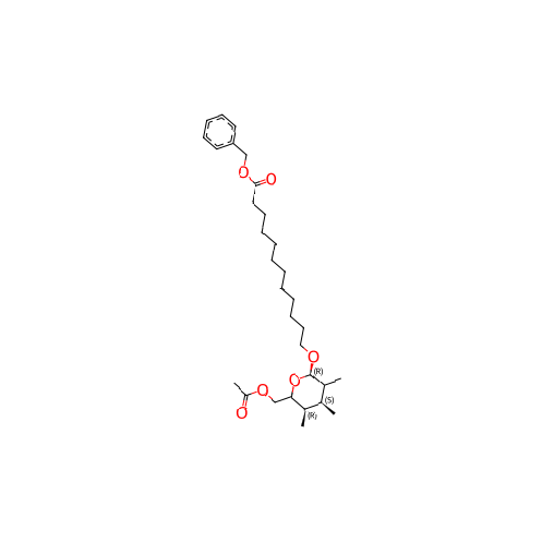 CC(=O)OCC1O[C@@H](OCCCCCCCCCCCC(=O)OCc2ccccc2)C(C)[C@@H](C)[C@H]1C